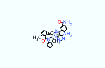 CCc1cccc(C)c1C(=O)N(CCNc1ncnc(N)c1/C(=N\C)c1cccc(C(N)=O)c1)c1ccccc1C